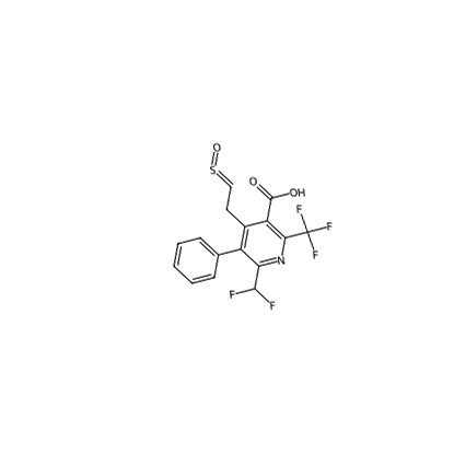 O=S=CCc1c(C(=O)O)c(C(F)(F)F)nc(C(F)F)c1-c1ccccc1